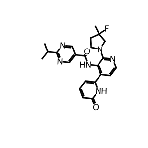 CC(C)c1ncc(C(=O)Nc2c(-c3cccc(=O)[nH]3)ccnc2N2CCC(C)(F)C2)cn1